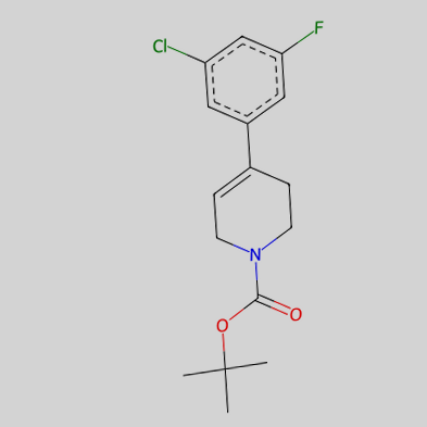 CC(C)(C)OC(=O)N1CC=C(c2cc(F)cc(Cl)c2)CC1